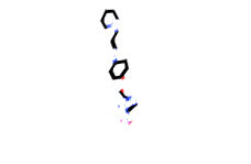 Cn1c([N+](=O)[O-])cnc1COC1=CCC(=NC=CCN2CCCCC2)C=C1